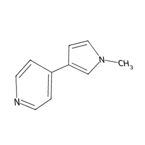 Cn1ccc(-c2ccncc2)c1